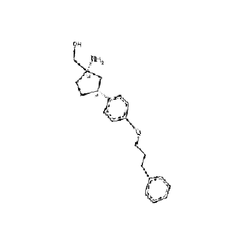 N[C@@]1(CO)CC[C@@H](c2ccc(OCCCc3ccccc3)cc2)C1